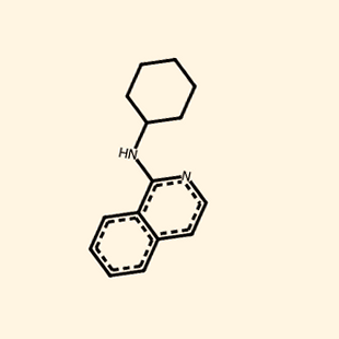 c1ccc2c(NC3CCCCC3)nccc2c1